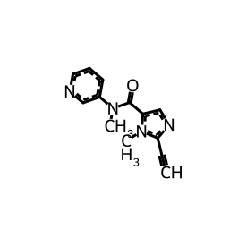 C#Cc1ncc(C(=O)N(C)c2cccnc2)n1C